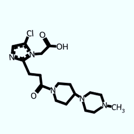 CN1CCN(C2CCN(C(=O)CCc3ncc(Cl)n3CC(=O)O)CC2)CC1